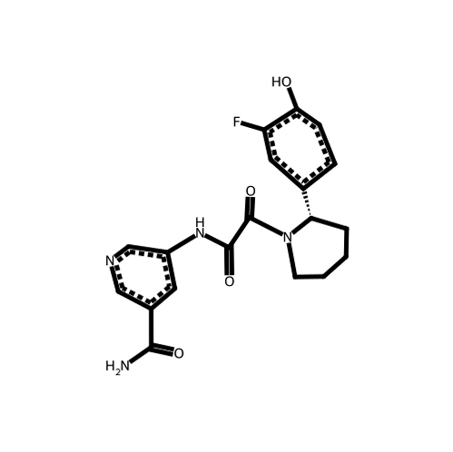 NC(=O)c1cncc(NC(=O)C(=O)N2CCCC[C@H]2c2ccc(O)c(F)c2)c1